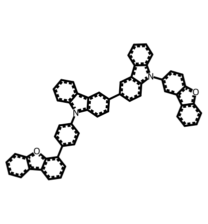 c1ccc2c(c1)oc1ccc(-n3c4ccccc4c4cc(-c5ccc6c(c5)c5ccccc5n6-c5ccc(-c6cccc7c6oc6ccccc67)cc5)ccc43)cc12